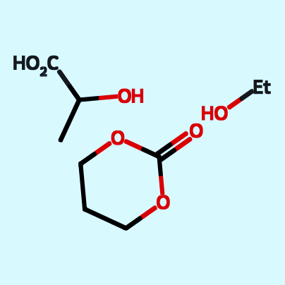 CC(O)C(=O)O.CCO.O=C1OCCCO1